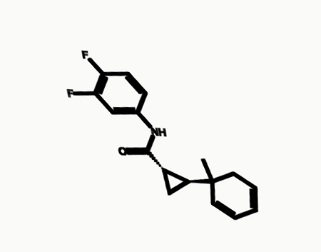 CC1([C@H]2C[C@@H]2C(=O)Nc2ccc(F)c(F)c2)C=CC=CC1